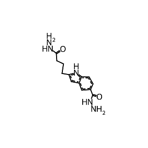 NNC(=O)CCCc1cc2cc(C(=O)NN)ccc2[nH]1